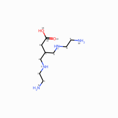 NCCNCC(CNCCN)CC(=O)O